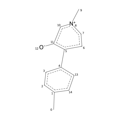 Cc1ccc(-c2cc[n+](C)cc2[O-])cc1